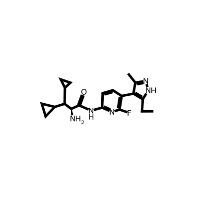 CCc1[nH]nc(C)c1-c1ccc(NC(=O)[C@@H](N)C(C2CC2)C2CC2)nc1F